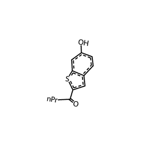 CCCC(=O)c1cc2ccc(O)cc2s1